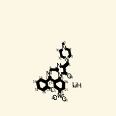 CN1CCN(/C=C2\N=C3CN=C(c4ccccc4Cl)c4cc([N+](=O)[O-])ccc4N3C2=O)CC1.[LiH]